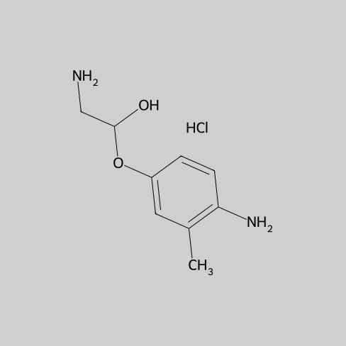 Cc1cc(OC(O)CN)ccc1N.Cl